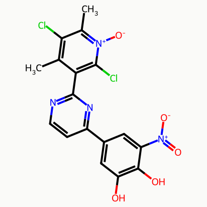 Cc1c(Cl)c(C)[n+]([O-])c(Cl)c1-c1nccc(-c2cc(O)c(O)c([N+](=O)[O-])c2)n1